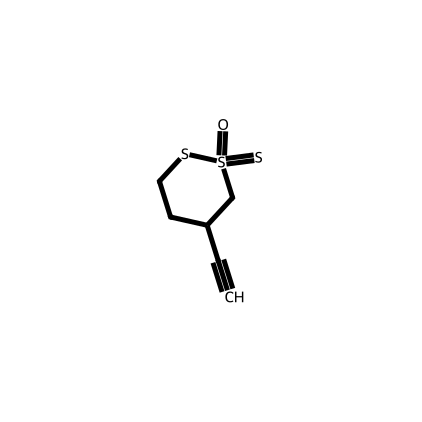 C#CC1CCSS(=O)(=S)C1